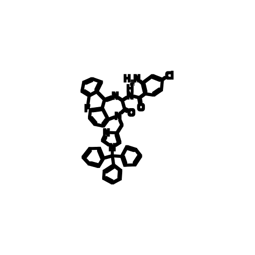 Nc1cc(Cl)ccc1C(=O)NC1N=C(c2ccccc2F)c2ccccc2N(Cc2cn(C(c3ccccc3)(c3ccccc3)c3ccccc3)cn2)C1=O